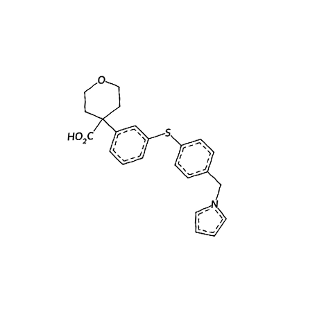 O=C(O)C1(c2cccc(Sc3ccc(Cn4cccc4)cc3)c2)CCOCC1